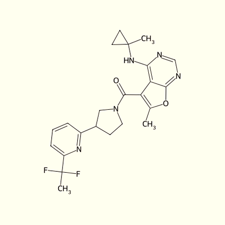 Cc1oc2ncnc(NC3(C)CC3)c2c1C(=O)N1CCC(c2cccc(C(C)(F)F)n2)C1